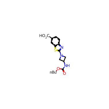 CCCCOC(=O)NC1CN(c2nc3ccc(C(=O)O)cc3s2)C1